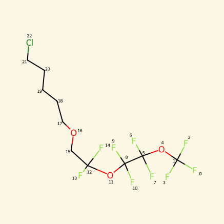 FC(F)(F)OC(F)(F)C(F)(F)OC(F)(F)COCCCCCCl